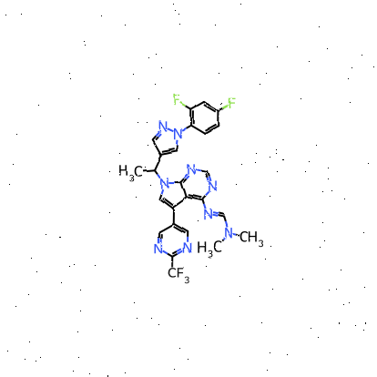 CC(c1cnn(-c2ccc(F)cc2F)c1)n1cc(-c2cnc(C(F)(F)F)nc2)c2c(N=CN(C)C)ncnc21